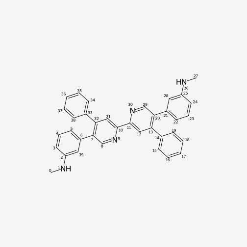 CNc1cccc(-c2cnc(-c3cc(-c4ccccc4)c(-c4cccc(NC)c4)cn3)cc2-c2ccccc2)c1